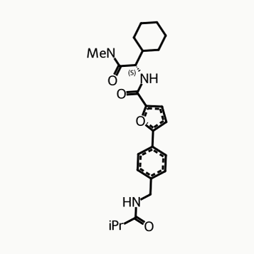 CNC(=O)[C@@H](NC(=O)c1ccc(-c2ccc(CNC(=O)C(C)C)cc2)o1)C1CCCCC1